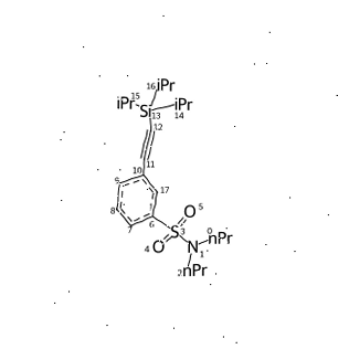 CCCN(CCC)S(=O)(=O)c1cccc(C#C[Si](C(C)C)(C(C)C)C(C)C)c1